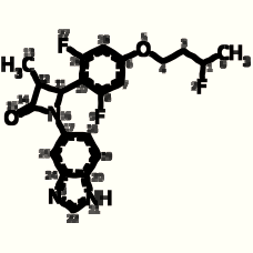 CC(F)CCOc1cc(F)c(C2C(C)C(=O)N2c2ccc3[nH]cnc3c2)c(F)c1